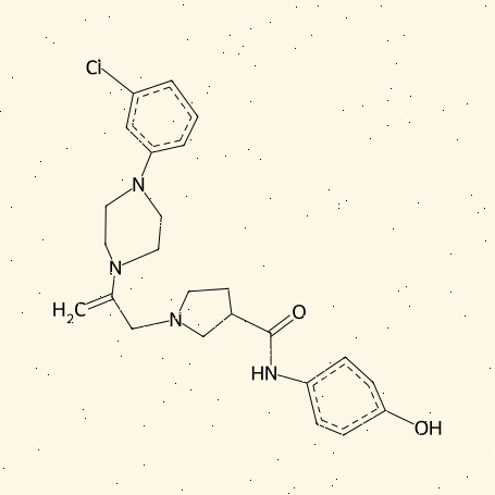 C=C(CN1CCC(C(=O)Nc2ccc(O)cc2)C1)N1CCN(c2cccc(Cl)c2)CC1